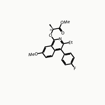 CCc1nc(O[C@@H](C)C(=O)OC)c2cc(OC)ccc2c1-c1ccc(F)cc1